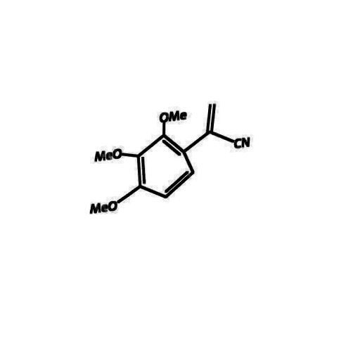 C=C(C#N)c1ccc(OC)c(OC)c1OC